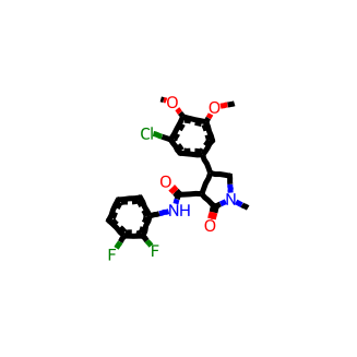 COc1cc(C2CN(C)C(=O)C2C(=O)Nc2cccc(F)c2F)cc(Cl)c1OC